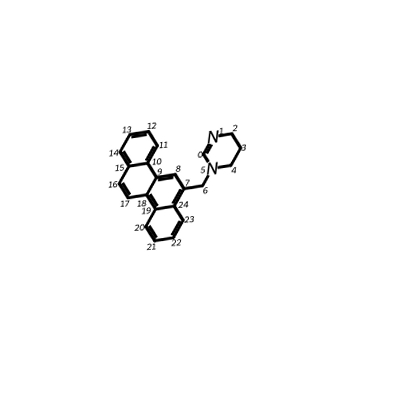 C1=NCCCN1Cc1cc2c3ccccc3ccc2c2ccccc12